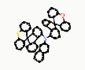 c1ccc2c(c1)Oc1ccccc1C21c2ccccc2-c2c(N(c3ccc4ccccc4c3)c3cccc4c3-c3ccccc3C43c4ccccc4Sc4ccccc43)cccc21